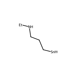 CCNCC[CH2][SnH]